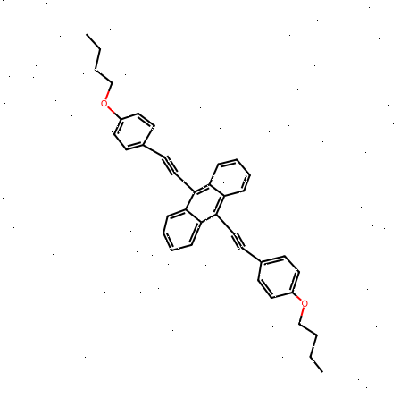 CCCCOc1ccc(C#Cc2c3ccccc3c(C#Cc3ccc(OCCCC)cc3)c3ccccc23)cc1